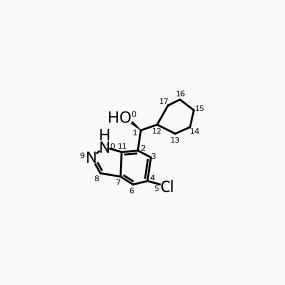 O[C@H](c1cc(Cl)cc2cn[nH]c12)C1CCCCC1